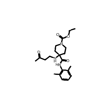 CCOC(=O)N1CCC(NCCC(C)=O)(C(=O)Nc2c(C)cccc2C)CC1